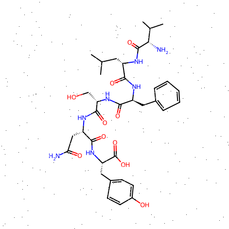 CC(C)C[C@H](NC(=O)[C@@H](N)C(C)C)C(=O)N[C@@H](Cc1ccccc1)C(=O)N[C@@H](CO)C(=O)N[C@@H](CC(N)=O)C(=O)N[C@@H](Cc1ccc(O)cc1)C(=O)O